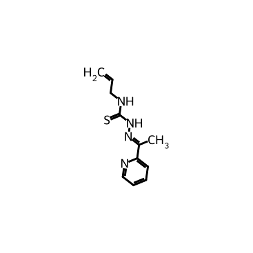 C=CCNC(=S)NN=C(C)c1ccccn1